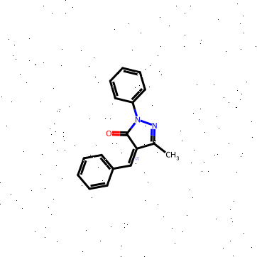 CC1=NN(c2ccccc2)C(=O)/C1=C\c1ccccc1